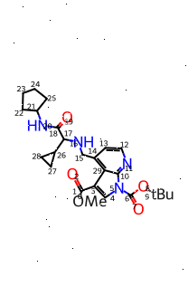 COC(=O)c1cn(C(=O)OC(C)(C)C)c2nccc(CNC(C(=O)NC3CCCC3)C3CC3)c12